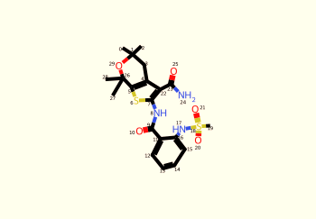 CC1(C)Cc2c(sc(NC(=O)c3ccccc3NS(C)(=O)=O)c2C(N)=O)C(C)(C)O1